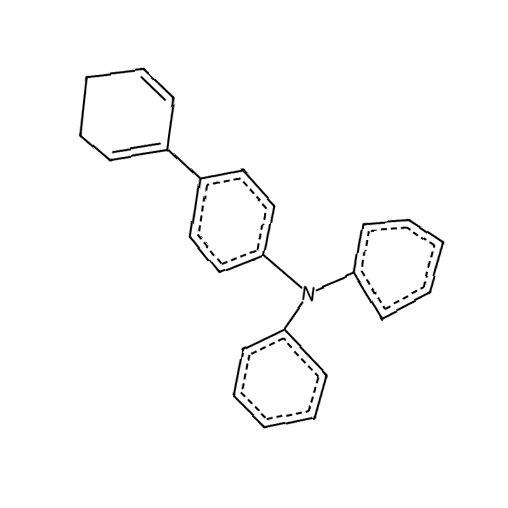 C1=CC(c2ccc(N(c3ccccc3)c3ccccc3)cc2)=CCC1